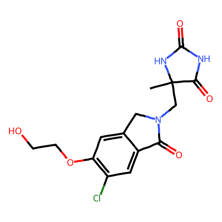 CC1(CN2Cc3cc(OCCO)c(Cl)cc3C2=O)NC(=O)NC1=O